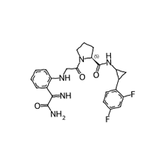 N=C(C(N)=O)c1ccccc1NCC(=O)N1CCC[C@H]1C(=O)NC1CC1c1ccc(F)cc1F